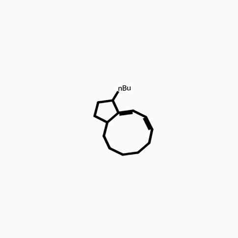 CCCCC1CCC2CCCCCC=CC=C12